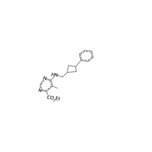 CCOC(=O)c1ncnc(NCC2CC(c3ccccc3)C2)c1C